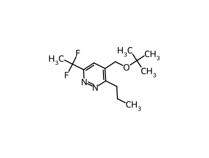 CCCc1nnc(C(C)(F)F)cc1COC(C)(C)C